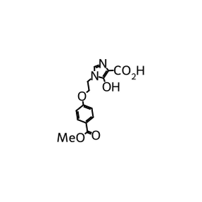 COC(=O)c1ccc(OCCn2cnc(C(=O)O)c2O)cc1